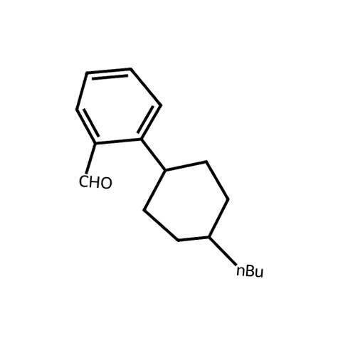 CCCCC1CCC(c2ccccc2C=O)CC1